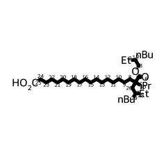 CCCCC(CC)COC(=O)C(CCCCCCCCCCCCCCCCCC(=O)O)(CC(CC)CCCC)C(C)C